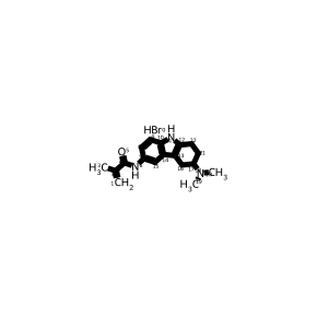 Br.C=C(C)C(=O)Nc1ccc2[nH]c3c(c2c1)CC(N(C)C)CC3